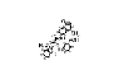 Cc1noc(=O)c2ccc(NC(=O)C(=C=Cc3cccc(CO)c3)CC(C)(C)c3ccccc3)cc12